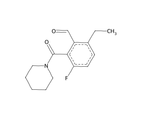 CCc1ccc(F)c(C(=O)N2CCCCC2)c1C=O